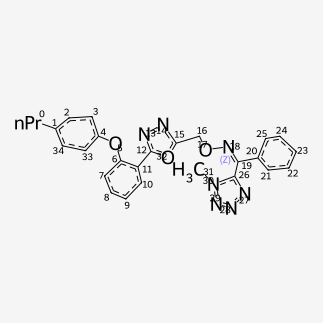 CCCc1ccc(Oc2ccccc2-c2nnc(CO/N=C(/c3ccccc3)c3nnnn3C)o2)cc1